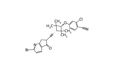 CC1(C)[C@H](C#CC2Cc3nc(Br)ccc3C2=O)C(C)(C)[C@H]1Oc1ccc(C#N)c(Cl)c1